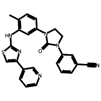 Cc1ccc(N2CCN(c3cccc(C#N)c3)C2=O)cc1Nc1nc(-c2cccnc2)cs1